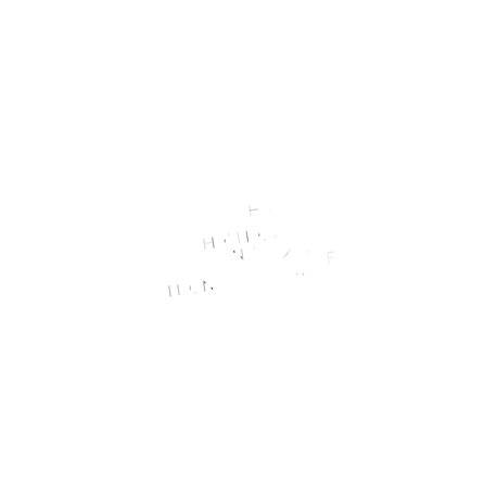 C=C(CC)c1cc(F)ccc1CCN(C)CCNC